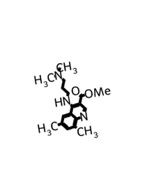 COC(=O)c1cnc2c(C)cc(C)cc2c1NCCCN(C)C